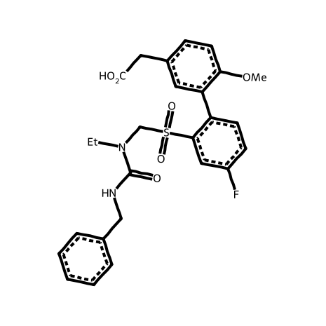 CCN(CS(=O)(=O)c1cc(F)ccc1-c1cc(CC(=O)O)ccc1OC)C(=O)NCc1ccccc1